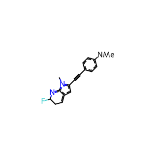 CNc1ccc(C#Cc2cc3c(n2C)=NC(F)CC=3)cc1